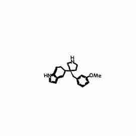 COc1cccc(C[C@]2(C3C=c4cc[nH]c4=CC3)CCNC2)c1